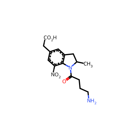 CC1Cc2cc(CC(=O)O)cc([N+](=O)[O-])c2N1C(=O)CCCN